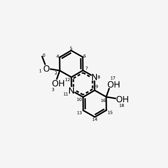 COC1(O)C=CC=c2nc3c(nc21)=CC=CC3(O)O